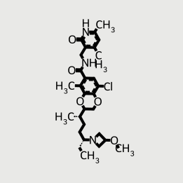 CC[C@H](CC[C@H](C)C1COc2c(Cl)cc(C(=O)NCc3c(C)cc(C)[nH]c3=O)c(C)c2O1)N1CC(OC)C1